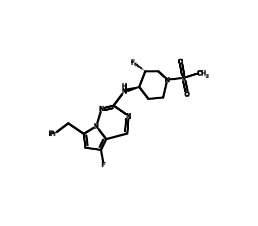 CC(C)Cc1cc(F)c2cnc(N[C@@H]3CCN(S(C)(=O)=O)C[C@H]3F)nn12